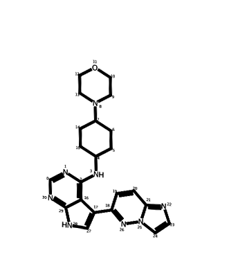 c1nc(NC2CCC(N3CCOCC3)CC2)c2c(-c3ccc4nccn4n3)c[nH]c2n1